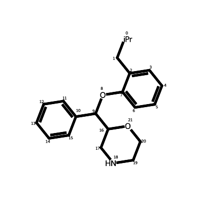 CC(C)Cc1ccccc1OC(c1ccccc1)C1CNCCO1